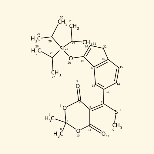 CSC(=C1C(=O)OC(C)(C)OC1=O)c1ccc2c(c1)C(O[Si](C(C)C)(C(C)C)C(C)C)=CC2